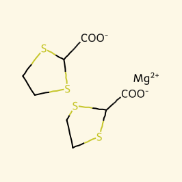 O=C([O-])C1SCCS1.O=C([O-])C1SCCS1.[Mg+2]